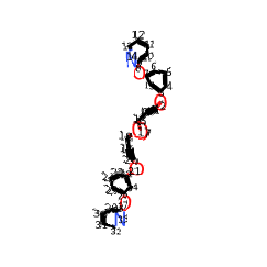 C(#COc1cccc(Oc2ccccn2)c1)COCC#COc1cccc(Oc2ccccn2)c1